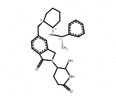 C[C@H](N[C@H]1CCCC[C@@H]1Cc1ccc2c(c1)CN(C1CCC(=O)NC1O)C2=O)c1ccccc1